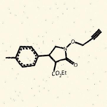 C#CCON1CC(c2ccc(C)cc2)C(C(=O)OCC)C1=O